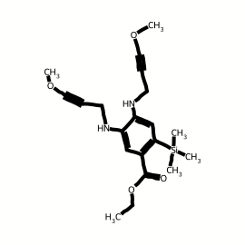 CCOC(=O)c1cc(NCC#COC)c(NCC#COC)cc1[Si](C)(C)C